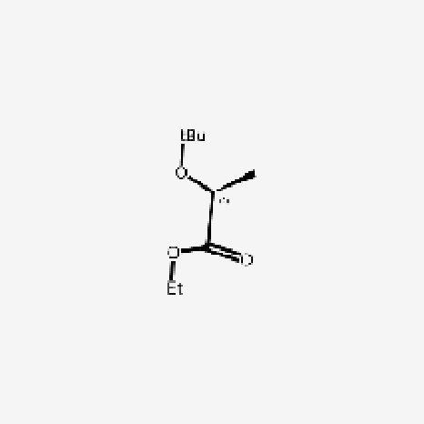 CCOC(=O)[C@H](C)OC(C)(C)C